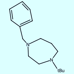 CC(C)(C)N1CCCN(Cc2ccccc2)CC1